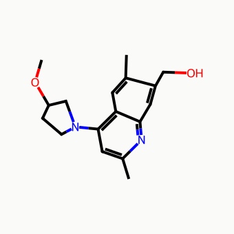 COC1CCN(c2cc(C)nc3cc(CO)c(C)cc23)C1